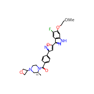 COCCOc1cc2[nH]nc(-c3cc(-c4ccc(C(=O)N5CCN(C6COC6)C[C@@H]5C)cc4)no3)c2cc1F